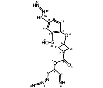 [N-]=[N+]=NCC(C=N)OC(=O)N1CC(Oc2ccc(NN=N)cc2SO)C1